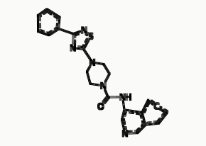 O=C(Nc1cncc2ccccc12)N1CCN(c2nc(-c3ccccc3)ns2)CC1